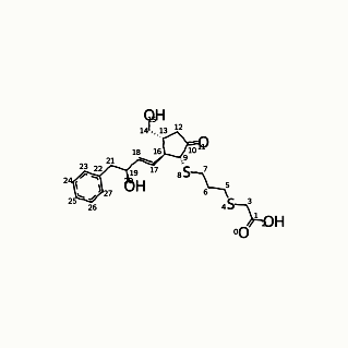 O=C(O)CSCCCS[C@H]1C(=O)C[C@@H](CO)[C@@H]1C=C[C@@H](O)Cc1ccccc1